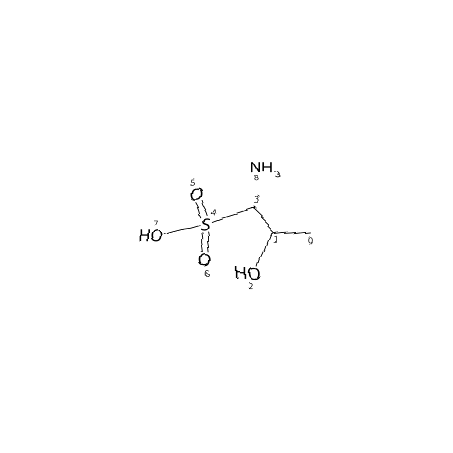 CC(O)CS(=O)(=O)O.N